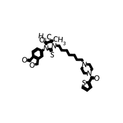 CC1(C)C(=O)N(c2ccc3c(c2)COC3=O)C(=S)N1CCCCCCCN1CCN(C(=O)c2cccs2)CC1